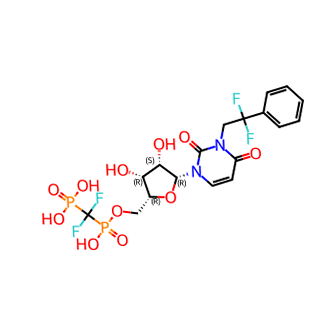 O=c1ccn([C@@H]2O[C@H](COP(=O)(O)C(F)(F)P(=O)(O)O)[C@H](O)[C@@H]2O)c(=O)n1CC(F)(F)c1ccccc1